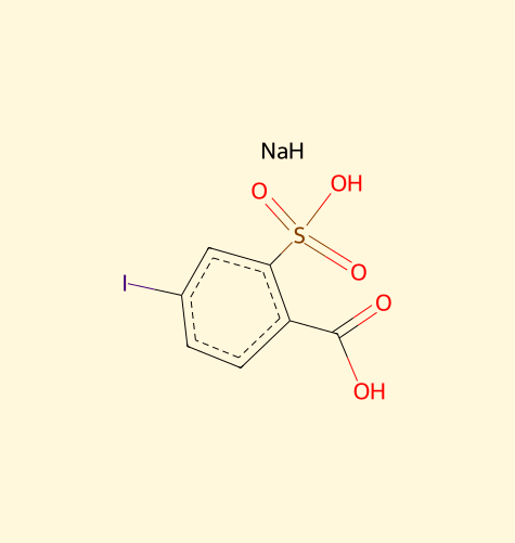 O=C(O)c1ccc(I)cc1S(=O)(=O)O.[NaH]